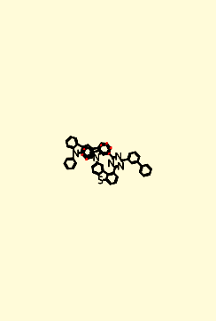 c1ccc(-c2cccc(-c3nc(-c4cccc(-c5ccccc5)c4)nc(-c4cccc5sc6ccc(-n7c8ccccc8c8cc9c%10ccccc%10n(-c%10ccccc%10)c9cc87)cc6c45)n3)c2)cc1